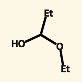 [CH2]CC(O)OCC